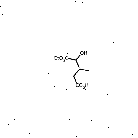 CCOC(=O)C(O)C(C)CC(=O)O